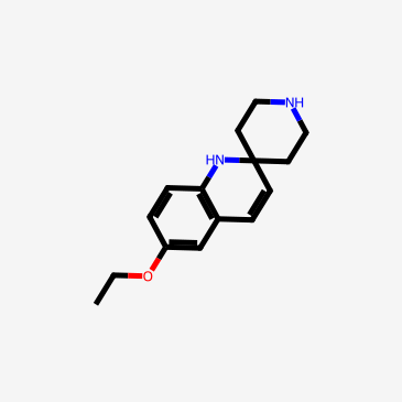 CCOc1ccc2c(c1)C=CC1(CCNCC1)N2